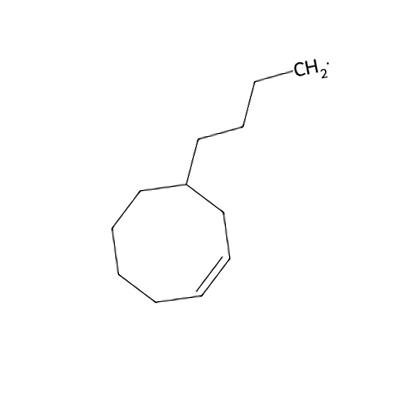 [CH2]CCCC1CC=CCCCC1